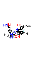 COc1ccc(-c2cnc(N3CCC(NC(C)c4ccc(/C=C/C(=O)NO)cc4)CC3)c(C#N)c2-c2ccc(C#N)c(F)c2)cc1O.O=CO